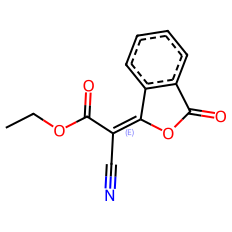 CCOC(=O)/C(C#N)=C1/OC(=O)c2ccccc21